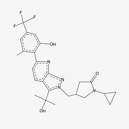 Cc1cc(C(F)(F)F)cc(O)c1-c1ccc2c(C(C)(C)O)n(CC3CC(=O)N(C4CC4)C3)nc2n1